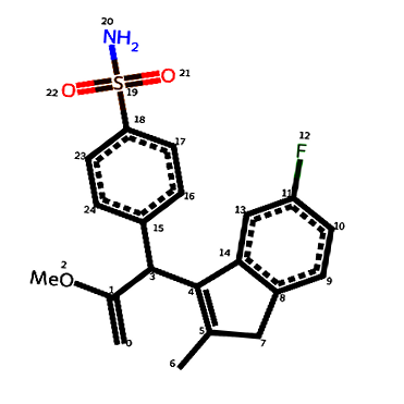 C=C(OC)C(C1=C(C)Cc2ccc(F)cc21)c1ccc(S(N)(=O)=O)cc1